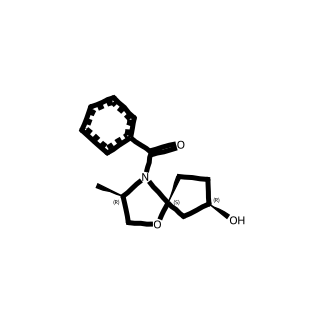 C[C@@H]1CO[C@]2(CC[C@@H](O)C2)N1C(=O)c1ccccc1